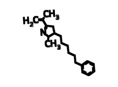 C=C(C)C1=NC(C)C(CCCCCCc2ccccc2)C1